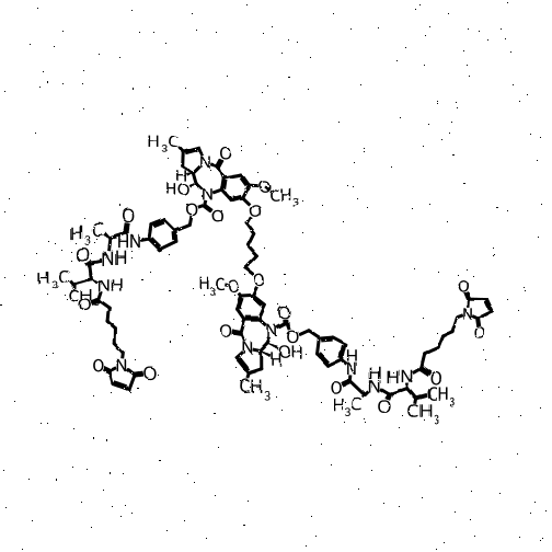 COc1cc2c(cc1OCCCCCOc1cc3c(cc1OC)C(=O)N1C=C(C)C[C@H]1[C@H](O)N3C(=O)OCc1ccc(NC(=O)[C@H](C)NC(=O)[C@@H](NC(=O)CCCCCN3C(=O)C=CC3=O)C(C)C)cc1)N(C(=O)OCc1ccc(NC(=O)[C@H](C)NC(=O)[C@@H](NC(=O)CCCCCN3C(=O)C=CC3=O)C(C)C)cc1)[C@@H](O)[C@@H]1CC(C)=CN1C2=O